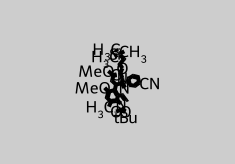 COC(=O)CC(c1c(OC)cc(C)c2c1ccn2C(=O)OC(C)(C)C)c1nc2cc(C#N)ccc2n1COCC[Si](C)(C)C